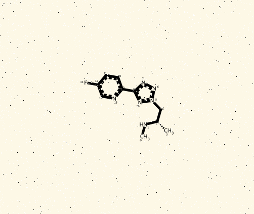 CN[C@@H](C)Cn1nnc(-c2ccc(F)cn2)n1